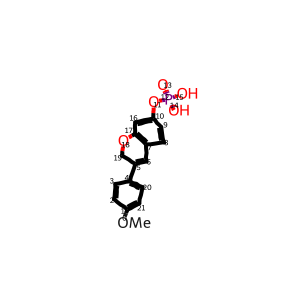 COc1ccc(C2=Cc3ccc(OP(=O)(O)O)cc3OC2)cc1